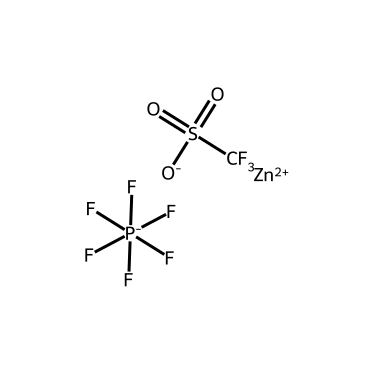 F[P-](F)(F)(F)(F)F.O=S(=O)([O-])C(F)(F)F.[Zn+2]